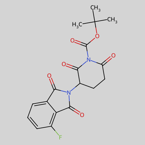 CC(C)(C)OC(=O)N1C(=O)CCC(N2C(=O)c3cccc(F)c3C2=O)C1=O